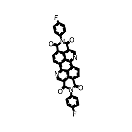 O=C1c2ccc3c4ncc5c6c(ccc(c7ncc(c2c37)C(=O)N1c1ccc(F)cc1)c64)C(=O)N(c1ccc(F)cc1)C5=O